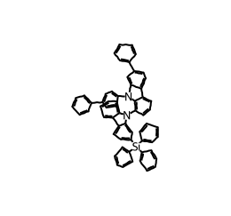 c1ccc(-c2ccc(-n3c4cc(-c5ccccc5)ccc4c4cccc(-n5c6ccccc6c6ccc([Si](c7ccccc7)(c7ccccc7)c7ccccc7)cc65)c43)cc2)cc1